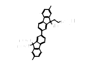 CCCCCCCCC1(CCCCCCCC)c2cc(C)ccc2-c2ccc(-c3ccc4c(c3)C(CCC)(CCC(=O)O)c3cc(C)ccc3-4)cc21